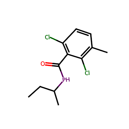 CCC(C)PC(=O)c1c(Cl)ccc(C)c1Cl